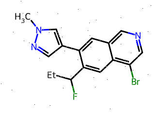 CCC(F)c1cc2c(Br)cncc2cc1-c1cnn(C)c1